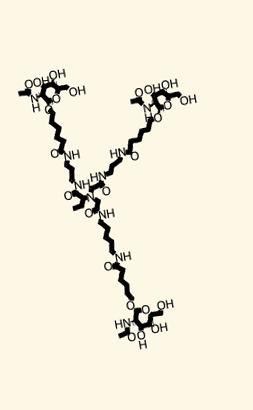 CCC(C(=O)NCCCNC(=O)CCCCCO[C@@H]1OC(CO)[C@H](O)C(O)[C@@H]1NC(C)=O)N(CC(=O)NCCCCCNC(=O)CCCCCO[C@@H]1OC(CO)[C@H](O)C(O)[C@@H]1NC(C)=O)CC(=O)NCCCNC(=O)CCCCCO[C@@H]1OC(CO)[C@H](O)C(O)[C@@H]1NC(C)=O